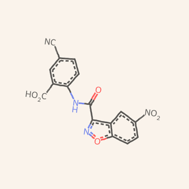 N#Cc1ccc(NC(=O)c2noc3ccc([N+](=O)[O-])cc23)c(C(=O)O)c1